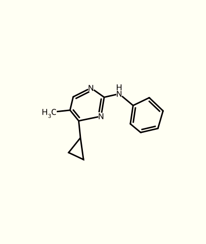 Cc1cnc(Nc2ccccc2)nc1C1CC1